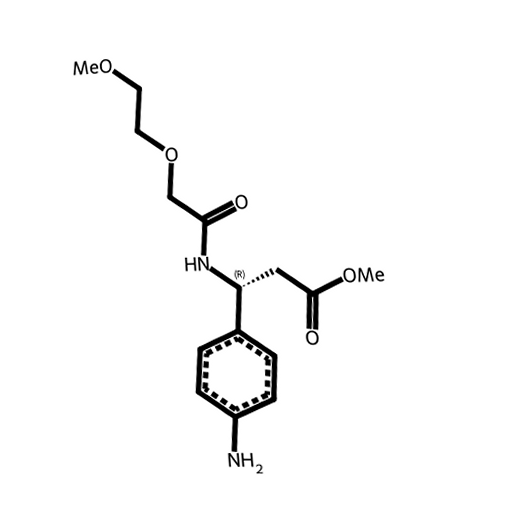 COCCOCC(=O)N[C@H](CC(=O)OC)c1ccc(N)cc1